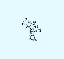 COc1cc(C(=O)N(Cc2ccco2)c2nc(-c3ccccc3)cs2)cc(C)c1OC